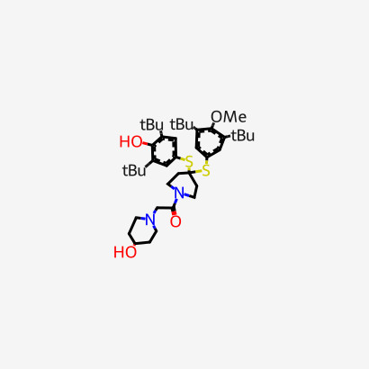 COc1c(C(C)(C)C)cc(SC2(Sc3cc(C(C)(C)C)c(O)c(C(C)(C)C)c3)CCN(C(=O)CN3CCC(O)CC3)CC2)cc1C(C)(C)C